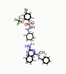 CN(Cc1ccccc1)c1nc(NC[C@H]2CC[C@H](CNS(=O)(=O)c3ccc(Br)cc3OC(F)(F)F)CC2)nc2ccccc12